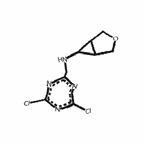 Clc1nc(Cl)nc(NC2C3COCC32)n1